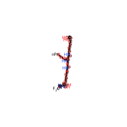 CCCOCCOCCOCC(=O)NC(COCCC(=O)NCCOCCOCCOCCOC[C@H]1OC[C@H](Nc2cncc(C(F)(F)F)n2)[C@@H](O)[C@H]1O)COCCC(=O)NCCOCCOCCOCCOC[C@H]1OCC[C@@H](O)[C@H]1O